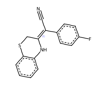 N#C/C(=C1\CSc2ccccc2N1)c1ccc(F)cc1